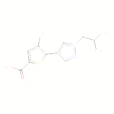 CC(C)Cn1cc(-c2sc(C(=O)O)cc2Cl)cn1